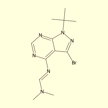 CN(C)/C=N/c1ncnc2c1c(Br)nn2C(C)(C)C